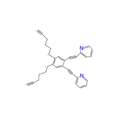 [C]#CCCC[CH]c1cc(C#Cc2ccccn2)c(C#Cc2ccccn2)cc1[CH]CCCC#[C]